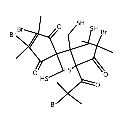 CC(C)(Br)C(=O)C(S)(C(=O)C(C)(C)Br)C(CS)(CS)C(CS)(C(=O)C(C)(C)Br)C(=O)C(C)(C)Br